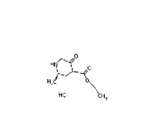 CCOC(=O)C1C[C@@H](C)NCC1=O.Cl